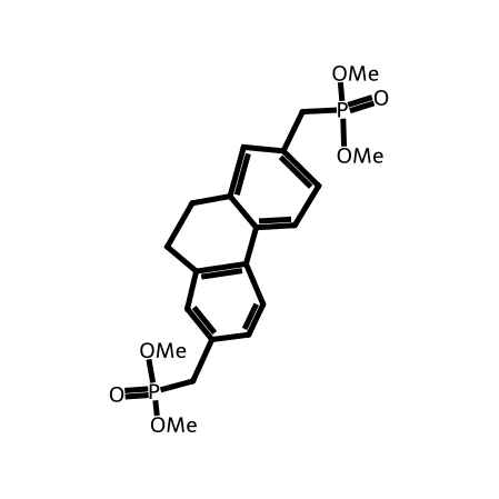 COP(=O)(Cc1ccc2c(c1)CCc1cc(CP(=O)(OC)OC)ccc1-2)OC